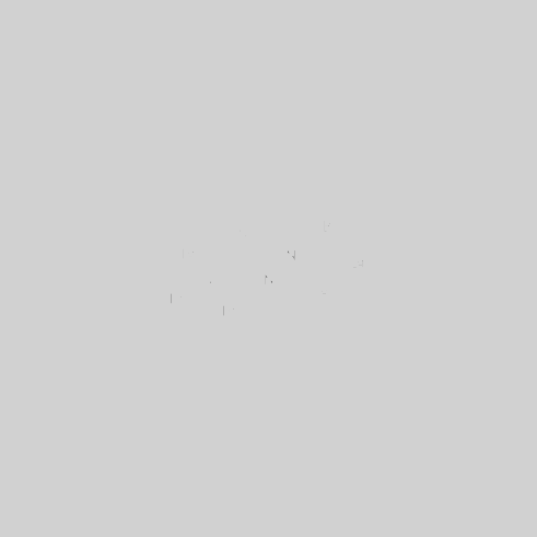 BrC(Br)(Br)C1=NN(C(Br)(Br)Br)CS1